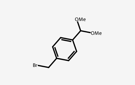 COC(OC)c1ccc(CBr)cc1